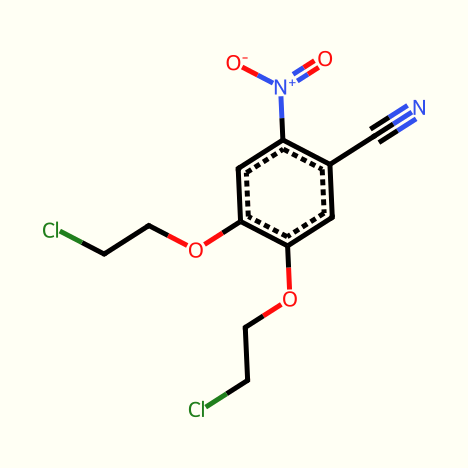 N#Cc1cc(OCCCl)c(OCCCl)cc1[N+](=O)[O-]